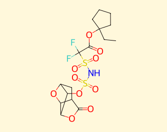 CCC1(OC(=O)C(F)(F)S(=O)(=O)NS(=O)(=O)OC2C3CC4C(=O)OC2C4O3)CCCC1